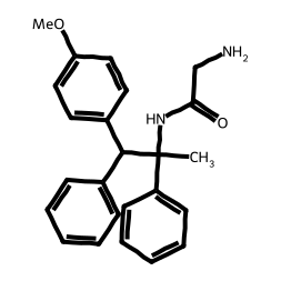 COc1ccc(C(c2ccccc2)C(C)(NC(=O)CN)c2ccccc2)cc1